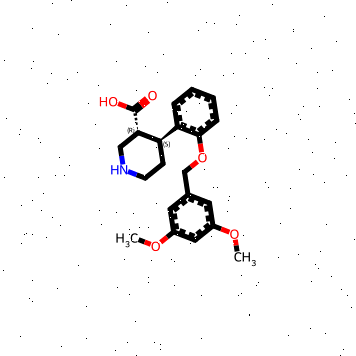 COc1cc(COc2ccccc2[C@H]2CCNC[C@@H]2C(=O)O)cc(OC)c1